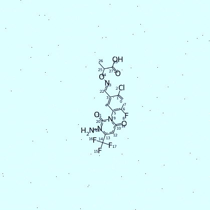 C=C(Cl)C(=C\C(=C(/C)F)n1c(=O)cc(C(F)(F)F)n(N)c1=O)/C=N/OC(C)C(=O)O